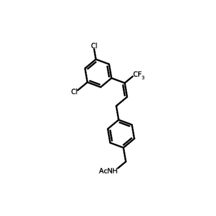 CC(=O)NCc1ccc(CC=C(c2cc(Cl)cc(Cl)c2)C(F)(F)F)cc1